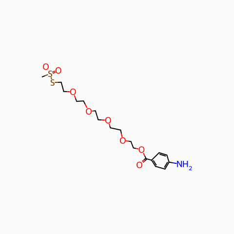 CS(=O)(=O)SCCOCCOCCOCCOCCOC(=O)c1ccc(N)cc1